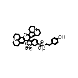 O=S(=O)(NCCc1ccc(O)cc1)C1=CC=C2C(C1)S(=O)(=O)OC21c2cc3c4c(c2Oc2c1cc1c5c2CCCN5CCC1)CCCN4CCC3